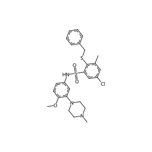 COc1ccc(NS(=O)(=O)c2cc(Cl)cc(C)c2SCc2ccccc2)cc1N1CCN(C)CC1